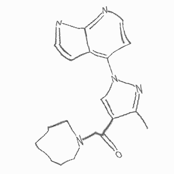 Cc1nn(-c2ccnc3c2C=C=N3)cc1C(=O)N1CCCCC1